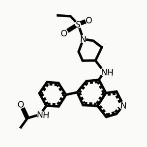 CCS(=O)(=O)N1CCC(Nc2cc(-c3cccc(NC(C)=O)c3)cc3ccncc23)CC1